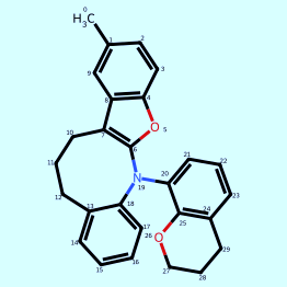 Cc1ccc2oc3c(c2c1)CCCc1ccccc1N3c1cccc2c1OCCC2